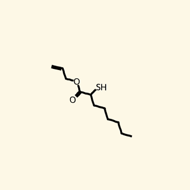 C=CCOC(=O)C(S)CCCCCC